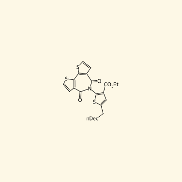 CCCCCCCCCCCc1cc(C(=O)OCC)c(-n2c(=O)c3ccsc3c3sccc3c2=O)s1